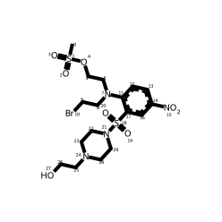 CS(=O)(=O)OCCN(CCBr)c1ccc([N+](=O)[O-])cc1S(=O)(=O)N1CCN(CCO)CC1